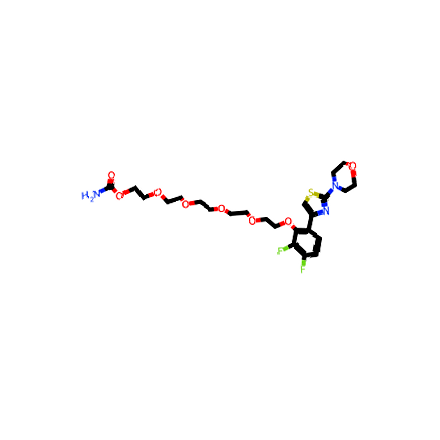 NC(=O)OCCOCCOCCOCCOCCOc1c(-c2csc(N3CCOCC3)n2)ccc(F)c1F